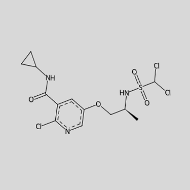 C[C@@H](COc1cnc(Cl)c(C(=O)NC2CC2)c1)NS(=O)(=O)C(Cl)Cl